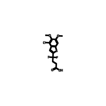 COc1cc2sc(C(F)(F)CCC(=O)O)cc2c(Cl)c1OC